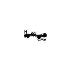 COc1cc(/C=C/C(=O)CC(=O)/C=C/c2ccc3cc[nH]c3c2)cc(OCc2ccccn2)c1